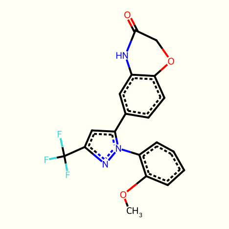 COc1ccccc1-n1nc(C(F)(F)F)cc1-c1ccc2c(c1)NC(=O)CO2